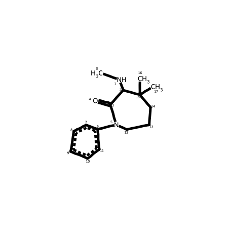 CNC1C(=O)N(c2ccccc2)CCCC1(C)C